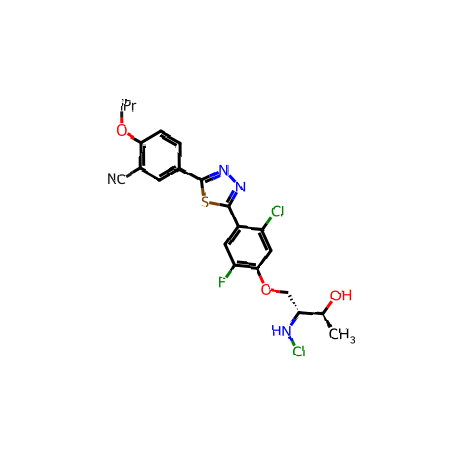 CC(C)Oc1ccc(-c2nnc(-c3cc(F)c(OC[C@@H](NCl)[C@H](C)O)cc3Cl)s2)cc1C#N